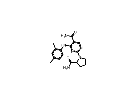 Cc1ccc(Nc2nc(N3CCCC3C(N)=O)ncc2C(N)=O)c(C)c1